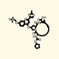 Cc1nc(-c2cc(OC3CC4C(=O)NC5(C(=O)O)CC5/C=C\CCCCCC(NC(=O)OC5CCCC5)C(=O)N4C3)c3ccc(OCP(C)(C)=O)cc3n2)cs1